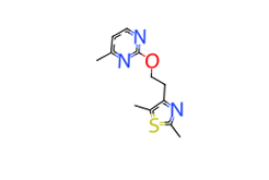 Cc1ccnc(OCCc2nc(C)sc2C)n1